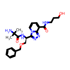 CC(C)(N)C(=O)N[C@H](COCc1ccccc1)c1nnc2c(C(=O)NCCCO)cccn12